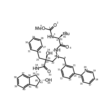 COC(=O)N[C@H](C(=O)NN(Cc1cccc(-c2ccccn2)c1)C[C@@](O)(Cc1ccccc1)C(=O)N[C@H]1c2ccccc2C[C@H]1O)C(C)(C)C